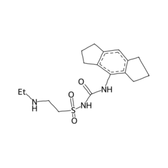 CCNCCS(=O)(=O)NC(=O)Nc1c2c(cc3c1CCC3)CCC2